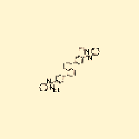 CCn1c(-c2ccc(C3=CCCc4c3cccc4-c3ccc(-c4nc5ccccc5n4CC)cc3)cc2)nc2ccccc21